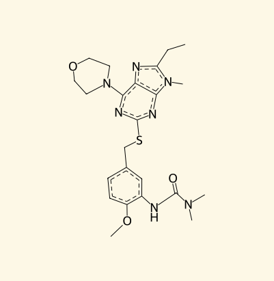 CCc1nc2c(N3CCOCC3)nc(SCc3ccc(OC)c(NC(=O)N(C)C)c3)nc2n1C